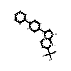 FC(F)(F)c1ccn2c(-c3ccc(-c4ccccc4)nc3)cnc2n1